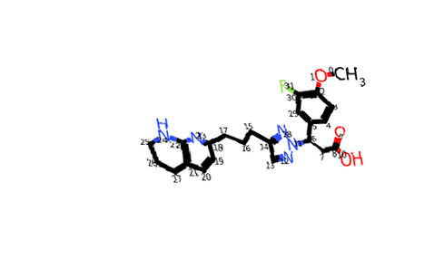 COc1ccc([C@@H](CC(=O)O)n2ncc(CCCc3ccc4c(n3)NCCC4)n2)cc1F